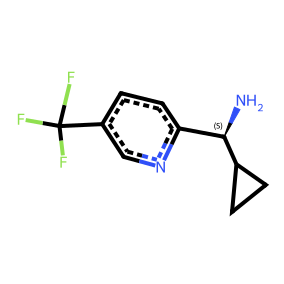 N[C@H](c1ccc(C(F)(F)F)cn1)C1CC1